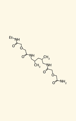 CCNC(=O)COCC(=O)NCC(C)CC(C)CNC(=O)COCC(N)=O